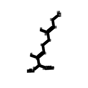 CCCCC(OC)/C(C)=C/CC/C(C)=C/CCl